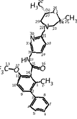 Cc1c(-c2ccccc2)ccc(OC(F)(F)F)c1C(=O)Nc1ccc(N2C[C@@H](C)O[C@@H](C)C2)nc1